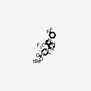 C[C@@H]1CN(c2ncnc3c2c(C(F)(F)F)cn3[C@H]2CCCC(F)(F)C2)[C@@H](C)CN1C(=O)OC(C)(C)C